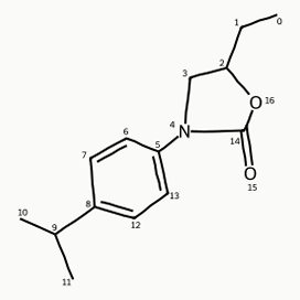 CCC1CN(c2ccc(C(C)C)cc2)C(=O)O1